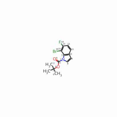 CC(C)(C)OC(=O)n1ccc2ccc(F)c(Br)c21